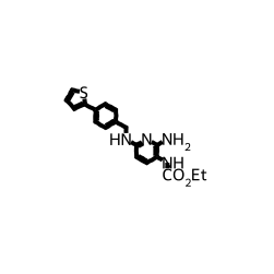 CCOC(=O)Nc1ccc(NCc2ccc(-c3cccs3)cc2)nc1N